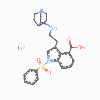 O=C(O)c1cccc2c1c(CCNC1CN3CCC1CC3)cn2S(=O)(=O)c1ccccc1.[LiH]